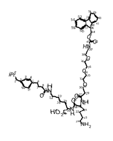 CC(C)Cc1ccc(CCCC(=O)NCCCCC(NC(=O)C(CCCCN)NC(=O)CCOCCOCCOCCNC(=O)OCC2c3ccccc3-c3ccccc32)C(=O)O)cc1